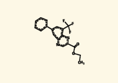 CCOC(=O)c1cnc2cc(-c3ccccc3)cc(C(F)(F)F)c2n1